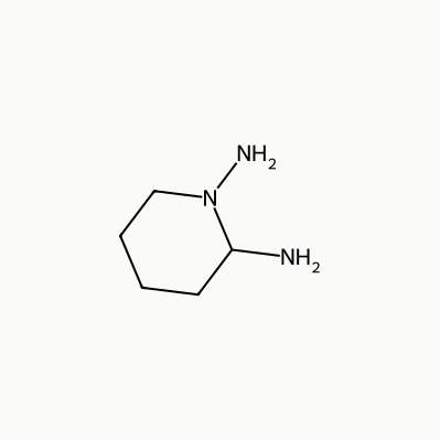 NC1CCCCN1N